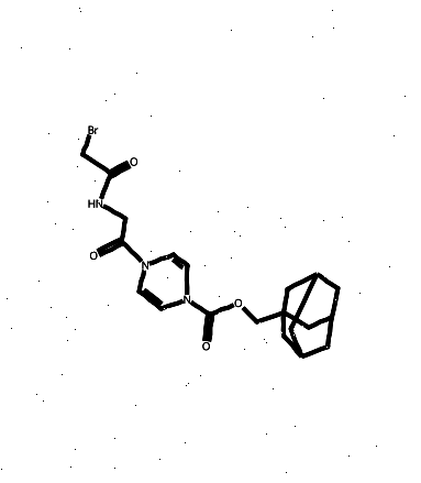 O=C(CBr)NCC(=O)N1C=CN(C(=O)OCC23CC4CC(CC(C4)C2)C3)C=C1